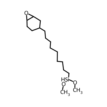 CO[SiH](CCCCCCCCCC1CCC2OC2C1)OC